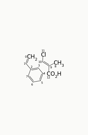 C=Cc1ccccc1.CC(=CCl)C(=O)O